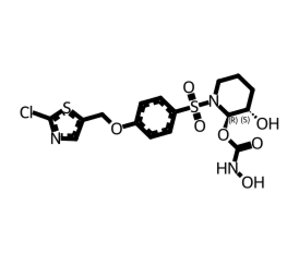 O=C(NO)O[C@@H]1[C@@H](O)CCCN1S(=O)(=O)c1ccc(OCc2cnc(Cl)s2)cc1